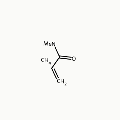 C.C=CC(=O)NC